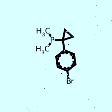 CP(C)C1(c2ccc(Br)cc2)CC1